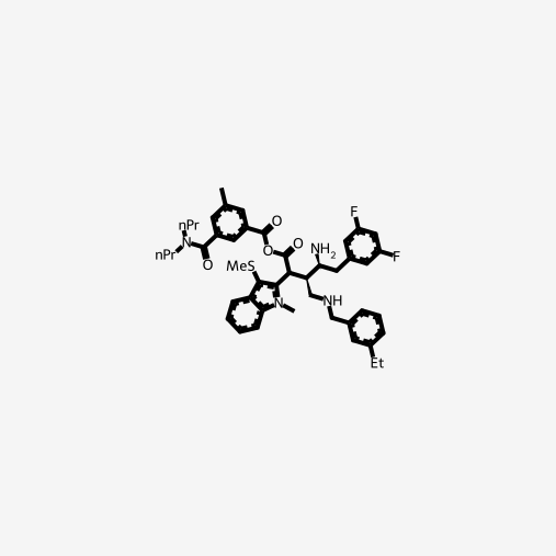 CCCN(CCC)C(=O)c1cc(C)cc(C(=O)OC(=O)C(c2c(SC)c3ccccc3n2C)[C@H](CNCc2cccc(CC)c2)[C@@H](N)Cc2cc(F)cc(F)c2)c1